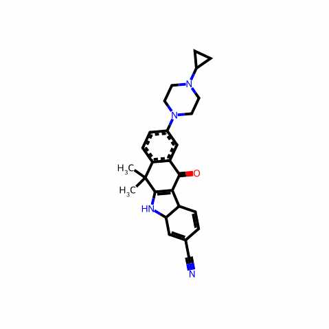 CC1(C)C2=C(C(=O)c3cc(N4CCN(C5CC5)CC4)ccc31)C1C=CC(C#N)=CC1N2